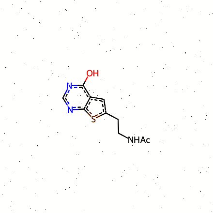 CC(=O)NCCc1cc2c(O)ncnc2s1